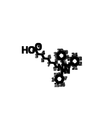 O=C(O)CCCCCCCn1c(-c2ccccc2)nc(-c2ccccc2)c1-c1ccccc1